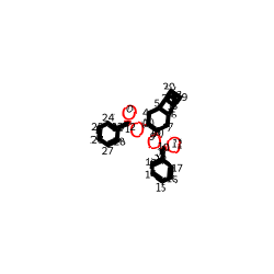 O=C(O[C@H]1CC2C(C[C@H]1OC(=O)c1ccccc1)C13CCC21C3)c1ccccc1